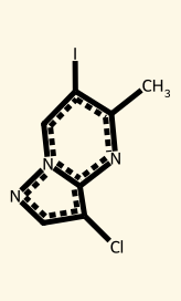 Cc1nc2c(Cl)cnn2cc1I